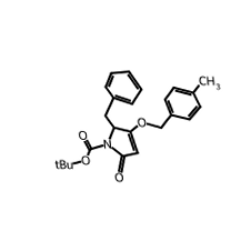 Cc1ccc(COC2=CC(=O)N(C(=O)OC(C)(C)C)C2Cc2ccccc2)cc1